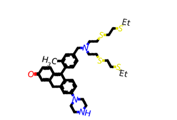 CCSCCSCCN(CCSCCSCC)Cc1ccc(C2=C3C=CC(=O)C=C3Cc3cc(N4CCNCC4)ccc32)c(C)c1